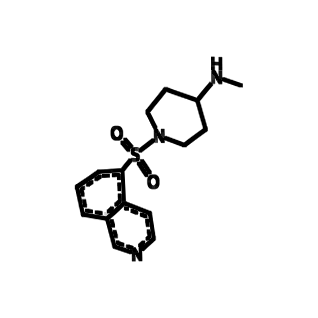 CNC1CCN(S(=O)(=O)c2cccc3cnccc23)CC1